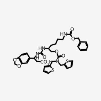 O=C(O)CC(NC(=O)NC(CCCCNC(=O)OCc1ccccc1)COC(=O)N(Cc1cccs1)Cc1cccs1)c1ccc2c(c1)OCO2